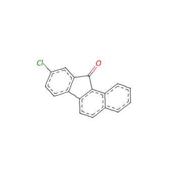 O=C1c2cc(Cl)ccc2-c2ccc3ccccc3c21